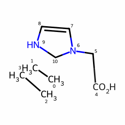 CC.CC.O=C(O)CN1C=CNC1